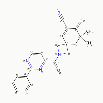 CC1(C)CC2(C=C(C#N)C1=O)CN(C(=O)c1ccnc(-c3ccccc3)n1)C2